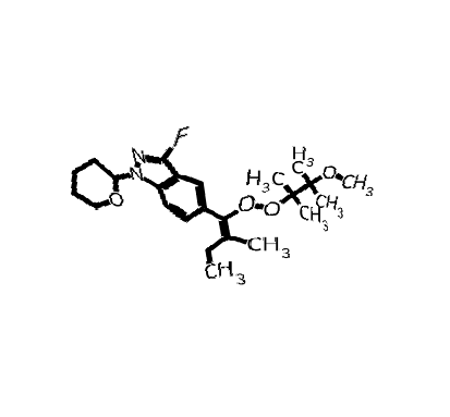 CC/C(C)=C(/OOC(C)(C)C(C)(C)OC)c1ccc2c(c1)c(F)nn2C1CCCCO1